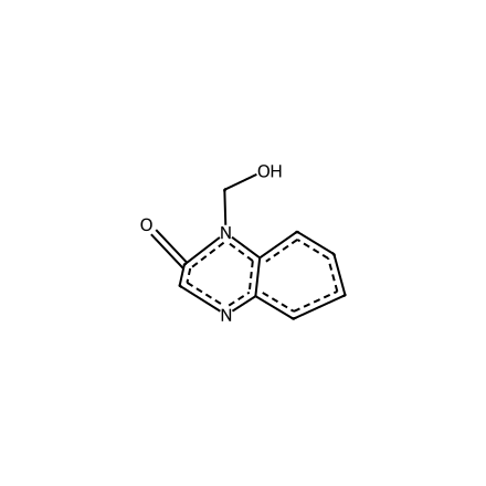 O=c1cnc2ccccc2n1CO